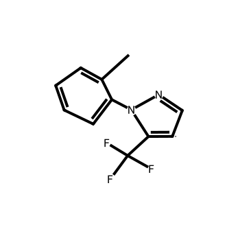 Cc1ccccc1-n1nc[c]c1C(F)(F)F